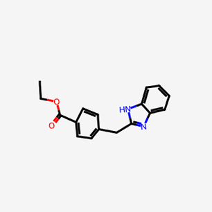 CCOC(=O)c1ccc(Cc2nc3ccccc3[nH]2)cc1